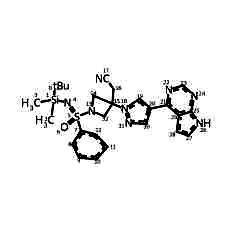 CC(C)(C)[Si](C)(C)N=S(=O)(c1ccccc1)N1CC(CC#N)(n2cc(-c3ncnc4[nH]ccc34)cn2)C1